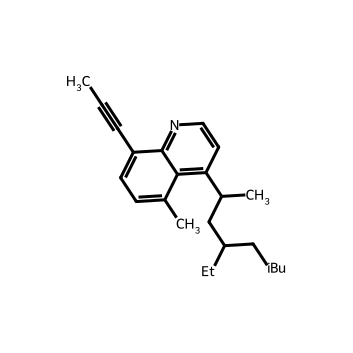 CC#Cc1ccc(C)c2c(C(C)CC(CC)CC(C)CC)ccnc12